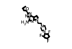 Nc1nc2c(ccn2CCN2CCN(c3c(F)cc(F)cc3F)CC2)c2nc(-c3ccco3)nn12